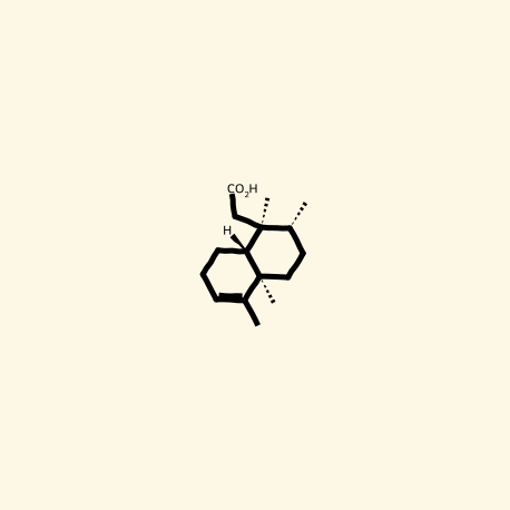 CC1=CCC[C@@H]2[C@@](C)(CC(=O)O)[C@H](C)CC[C@@]12C